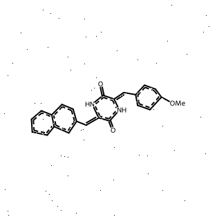 COc1ccc(/C=c2\[nH]c(=O)/c(=C/c3ccc4ccccc4c3)[nH]c2=O)cc1